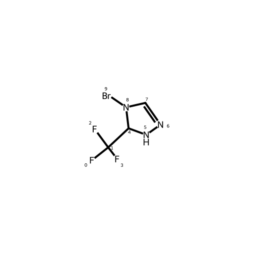 FC(F)(F)C1NN=CN1Br